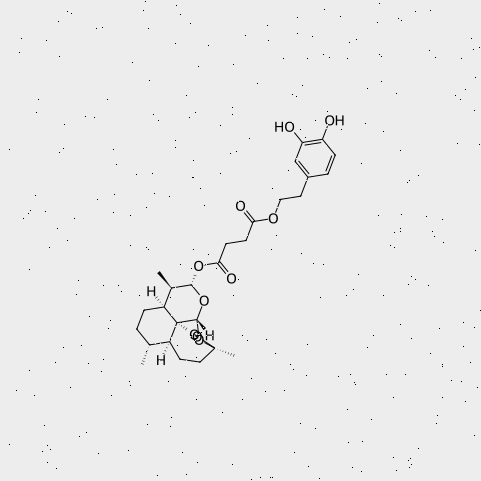 C[C@H]1[C@H](OC(=O)CCC(=O)OCCc2ccc(O)c(O)c2)O[C@@H]2O[C@]3(C)CC[C@H]4[C@H](C)CC[C@@H]1[C@@]24OO3